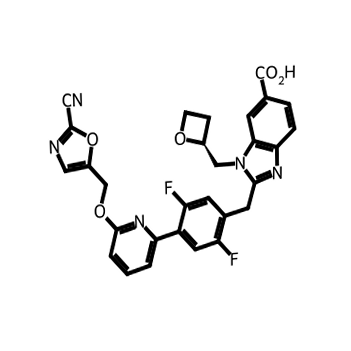 N#Cc1ncc(COc2cccc(-c3cc(F)c(Cc4nc5ccc(C(=O)O)cc5n4C[C@@H]4CCO4)cc3F)n2)o1